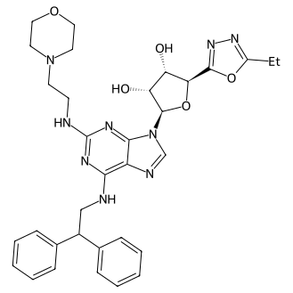 CCc1nnc([C@H]2O[C@@H](n3cnc4c(NCC(c5ccccc5)c5ccccc5)nc(NCCN5CCOCC5)nc43)[C@H](O)[C@@H]2O)o1